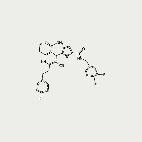 CC(C)CC1=C(C(N)=O)C(c2ccc(C(=O)NCc3ccc(F)c(F)c3)s2)C(C#N)=C(CCc2ccc(F)cc2)N1